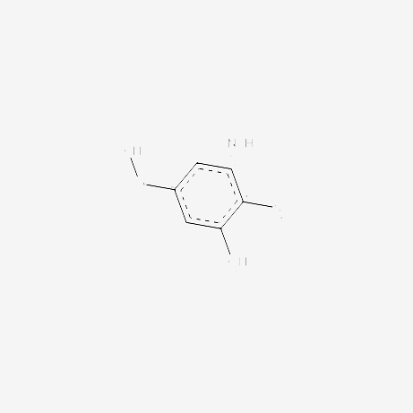 COc1ccc(S)c(O)c1.[NaH]